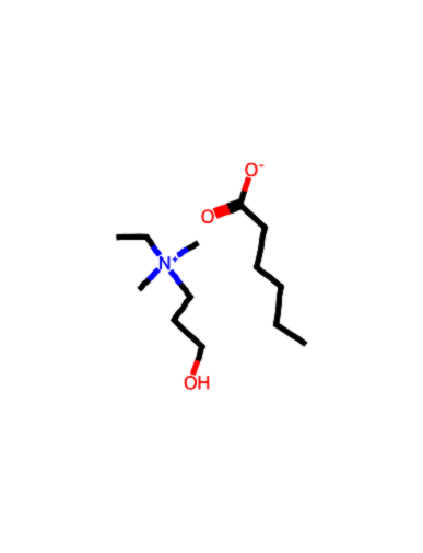 CCCCCC(=O)[O-].CC[N+](C)(C)CCCO